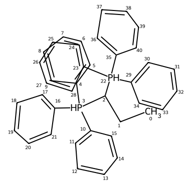 CCC([PH](c1ccccc1)(c1ccccc1)c1ccccc1)[PH](c1ccccc1)(c1ccccc1)c1ccccc1